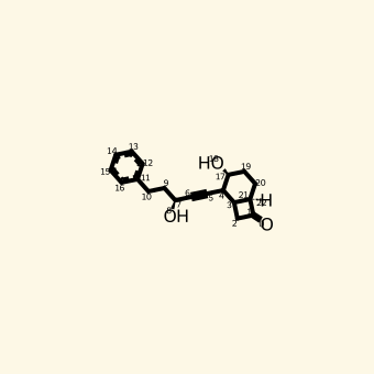 O=C1CC2C(C#C[C@@H](O)CCc3ccccc3)[C@@H](O)CC[C@@H]12